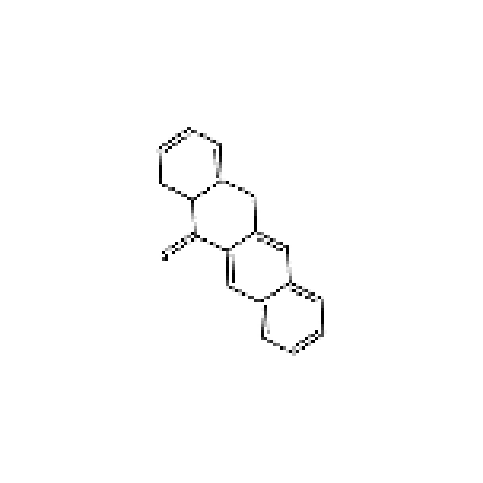 S=C1c2cc3ccccc3cc2CC2=CC=CCC12